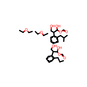 CC(C)Cc1ccccc1C(CO)C(O)OC=O.CCCc1ccccc1C(CO)C(O)OC=O.CCOCC.CCOCC